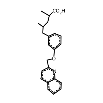 CC(Cc1cccc(OCc2ccc3ccccc3n2)c1)CC(C)C(=O)O